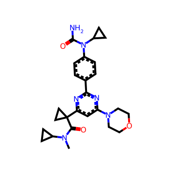 CN(C(=O)C1(c2cc(N3CCOCC3)nc(-c3ccc(N(C(N)=O)C4CC4)cc3)n2)CC1)C1CC1